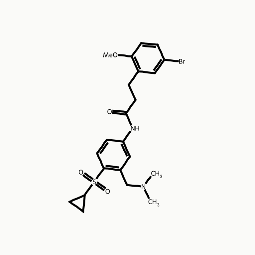 COc1ccc(Br)cc1CCC(=O)Nc1ccc(S(=O)(=O)C2CC2)c(CN(C)C)c1